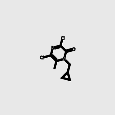 Cc1c(Cl)nc(Cl)c(=O)n1CC1CC1